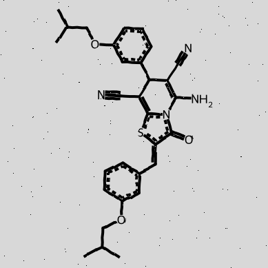 CC(C)COc1cccc(/C=c2\sc3n(c2=O)C(N)=C(C#N)C(c2cccc(OCC(C)C)c2)C=3C#N)c1